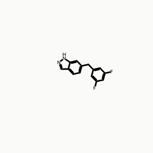 Fc1cc(F)cc(Cc2ccc3[c]n[nH]c3c2)c1